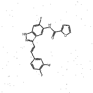 O=C(Nc1cc2c(/C=C/c3ccc(F)c(F)c3)n[nH]c2cc1F)c1ccco1